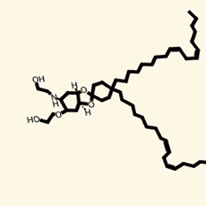 CCCCC/C=C\C/C=C\CCCCCCCCC1(CCCCCCCC/C=C\C/C=C\CCCCC)CCC2(CC1)O[C@H]1CC(OCCO)[C@@H](NCCO)C[C@@H]1O2